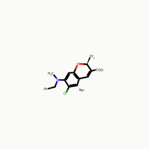 CC(C)CN(C)c1cc2c(cc1Cl)C=C(C(=O)[O-])[C@H](C(F)(F)F)O2.[Na+]